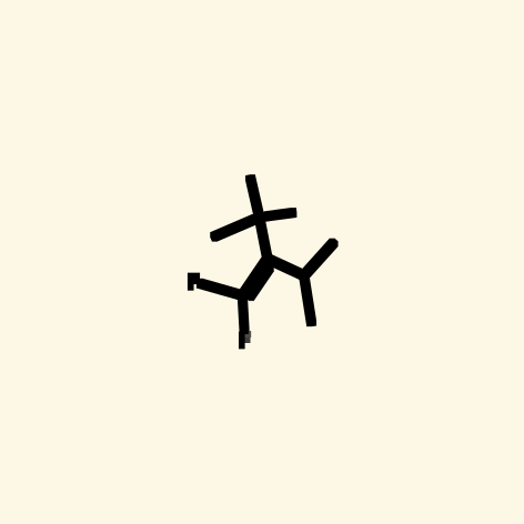 CC(C)C(=C(F)F)C(C)(C)C